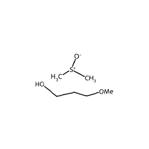 COCCCO.C[S+](C)[O-]